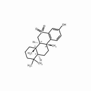 CC1(C)CCC[C@]2(C)[C@H]3CS(=O)(=O)c4cc(O)ccc4[C@]3(C)CC[C@@H]12